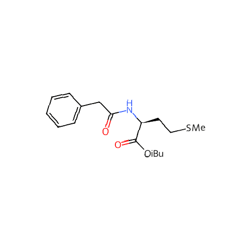 CSCC[C@H](NC(=O)Cc1ccccc1)C(=O)OCC(C)C